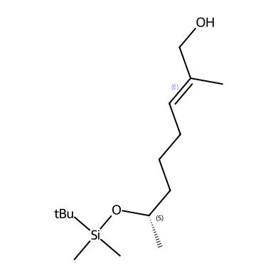 C/C(=C\CCC[C@H](C)O[Si](C)(C)C(C)(C)C)CO